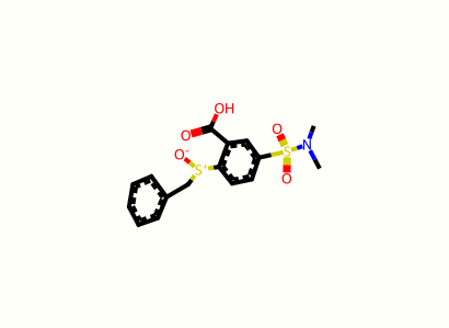 CN(C)S(=O)(=O)c1ccc([S+]([O-])Cc2ccccc2)c(C(=O)O)c1